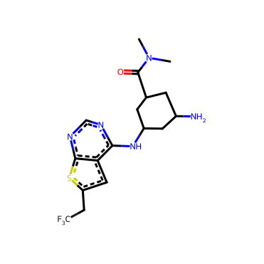 CN(C)C(=O)C1CC(N)CC(Nc2ncnc3sc(CC(F)(F)F)cc23)C1